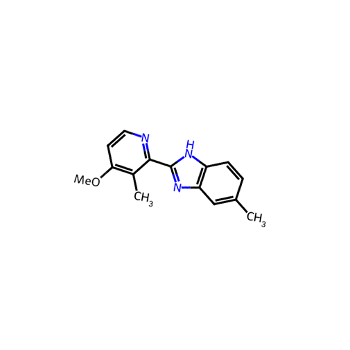 COc1ccnc(-c2nc3cc(C)ccc3[nH]2)c1C